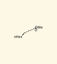 CCCCCCC#CC=CCCCCCCCC(=O)OC